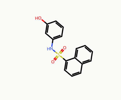 O=S(=O)(Nc1cccc(O)c1)c1cccc2ccccc12